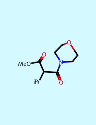 COC(=O)C(C(=O)N1CCOCC1)C(C)C